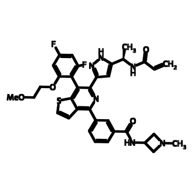 C=CC(=O)N[C@H](C)c1cc(-c2nc(-c3cccc(C(=O)NC4CN(C)C4)c3)c3ccsc3c2-c2c(F)cc(F)cc2OCCOC)n[nH]1